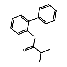 CC(C)C(=O)Oc1ccccc1-c1ccccc1